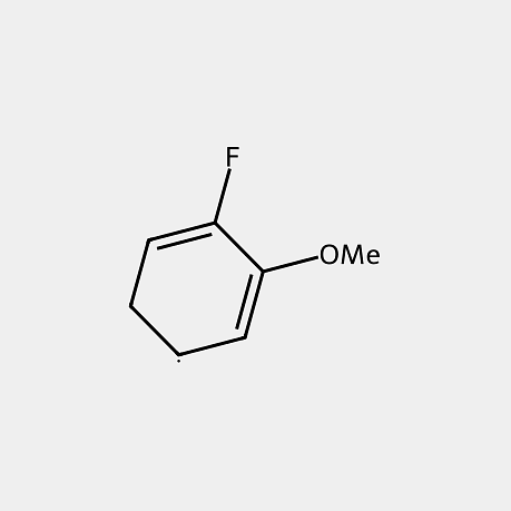 COC1=C[CH]CC=C1F